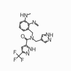 C=Nc1c(CN(Cc2cn[nH]c2)C(=O)c2cc(C(F)(F)F)n[nH]2)cccc1NC